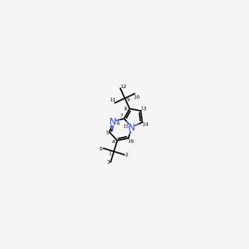 CC(C)(C)c1cnc2c(C(C)(C)C)ccn2c1